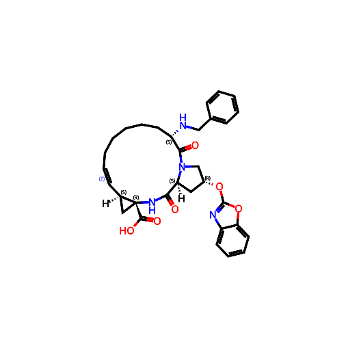 O=C1N[C@]2(C(=O)O)C[C@H]2/C=C\CCCCC[C@H](NCc2ccccc2)C(=O)N2C[C@H](Oc3nc4ccccc4o3)C[C@@H]12